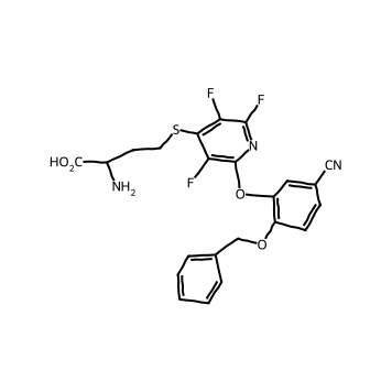 N#Cc1ccc(OCc2ccccc2)c(Oc2nc(F)c(F)c(SCCC(N)C(=O)O)c2F)c1